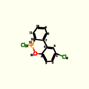 Clc1ccc2c(c1)-c1ccccc1P(Cl)O2